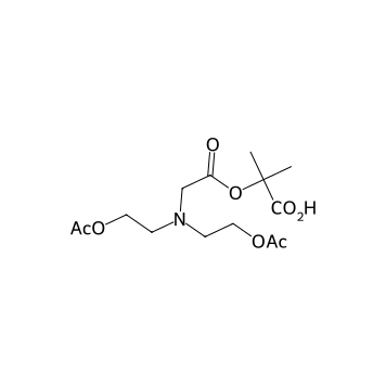 CC(=O)OCCN(CCOC(C)=O)CC(=O)OC(C)(C)C(=O)O